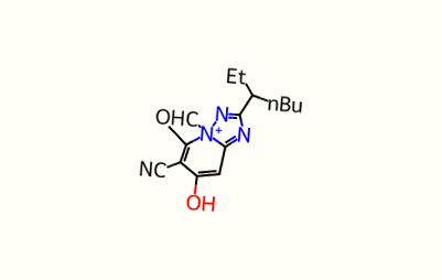 CCCCC(CC)C1=N[N+]2(C=O)C(=N1)C=C(O)C(C#N)=C2C